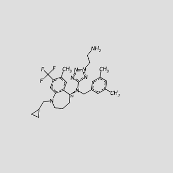 Cc1cc(C)cc(CN(c2nnn(CCN)n2)[C@H]2CCCN(CC3CC3)c3cc(C(F)(F)F)c(C)cc32)c1